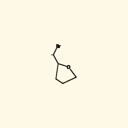 Br[CH]C1CCCO1